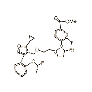 CCC1CC[C@@H](CCOCc2c(-c3ccccc3OC(F)F)noc2C2CC2)N1c1ccc(C(=O)OC)cc1F